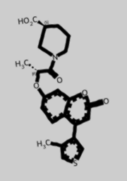 Cc1cscc1-c1cc(=O)oc2cc(O[C@H](C)C(=O)N3CCC[C@H](C(=O)O)C3)ccc12